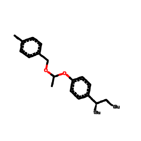 Cc1ccc(COC(C)Oc2ccc([C@@H](CC(C)(C)C)C(C)(C)C)cc2)cc1